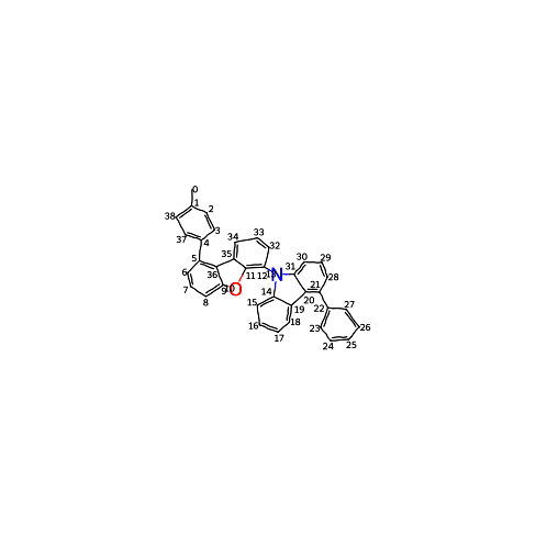 Cc1ccc(-c2cccc3oc4c(-n5c6ccccc6c6c(-c7ccccc7)cccc65)cccc4c23)cc1